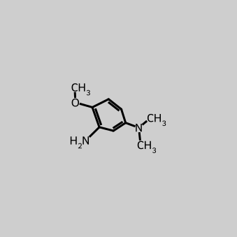 COc1ccc(N(C)C)cc1N